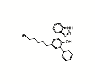 CC(C)CCCCCc1ccc(O)c(C2C=CC=CC2)c1.c1ccc2[nH]nnc2c1